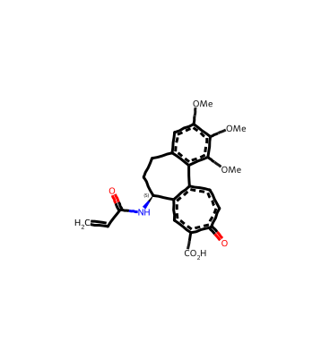 C=CC(=O)N[C@H]1CCc2cc(OC)c(OC)c(OC)c2-c2ccc(=O)c(C(=O)O)cc21